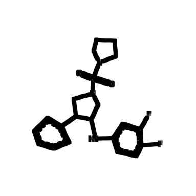 O=S(=O)(N1CCCC1)N1CC(Nc2ccc(F)c(F)c2)C(c2ccccc2)C1